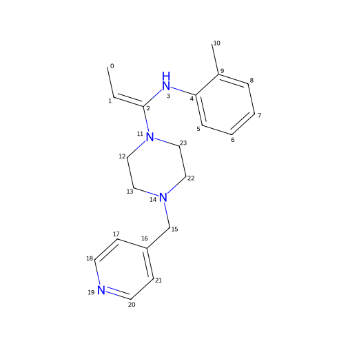 C/C=C(\Nc1ccccc1C)N1CCN(Cc2ccncc2)CC1